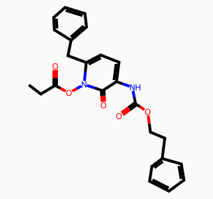 CCC(=O)On1c(Cc2ccccc2)ccc(NC(=O)OCCc2ccccc2)c1=O